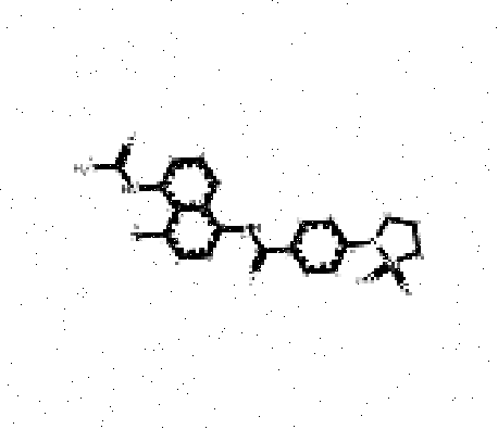 CC(=O)Nc1cccc2c(NC(=O)c3ccc(N4CCCS4(=O)=O)cc3)ccc(Cl)c12